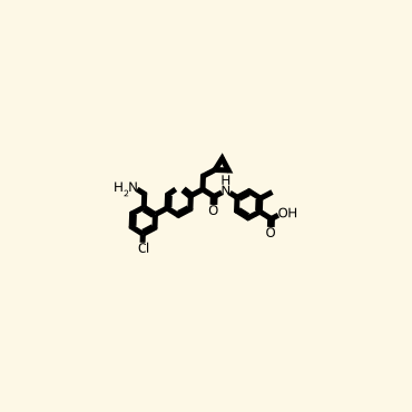 C=C(/C=C\C(=C/C)c1cc(Cl)ccc1CN)C(CC1CC1)C(=O)Nc1ccc(C(=O)O)c(C)c1